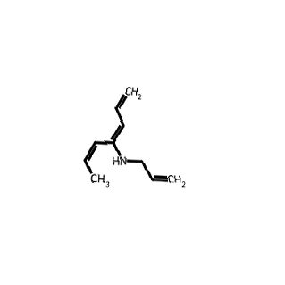 C=C/C=C(\C=C/C)NCC=C